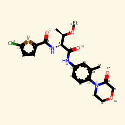 CCO[C@H](C)[C@@H](NC(=O)c1ccc(Cl)s1)C(=O)Nc1ccc(N2CCOCC2=O)c(C)c1